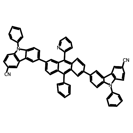 N#Cc1ccc2c(c1)c1cc(-c3ccc4c(-c5ccccn5)c5cc(-c6ccc7c(c6)c6cc(C#N)ccc6n7-c6ccccc6)ccc5c(-c5ccccc5)c4c3)ccc1n2-c1ccccc1